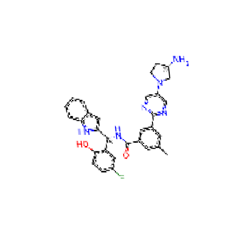 Cc1cc(C(=O)N[C@@H](c2cc3ccccc3[nH]2)c2cc(F)ccc2O)cc(-c2ncc(N3CC[C@H](N)C3)cn2)c1